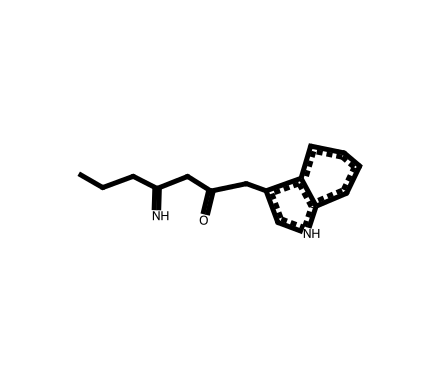 CCCC(=N)CC(=O)Cc1c[nH]c2ccccc12